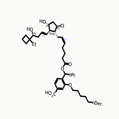 CCCCCCCCCCCCCCCOc1cc(C(=O)O)ccc1C(CCC)OC(=O)CCC/C=C\C[C@@H]1[C@@H](/C=C/C[C@H](O)C2(CC)CCC2)[C@H](O)C[C@H]1Cl